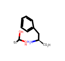 CCC(O)O.N[C@@H](Cc1ccccc1)C(=O)O